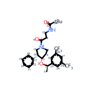 C[C@@H](O[C@H]1CCN(C(=O)CCNC(=O)C(C)(C)C)C[C@H]1c1ccccc1)c1cc(C(F)(F)F)cc(C(F)(F)F)c1